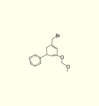 COCOC1=CC(c2ccccc2)CC(CBr)=C1